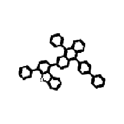 c1ccc(-c2ccc(-c3c4ccccc4c(-c4ccccc4)c4cc(-c5ccc(-c6ccccc6)c6oc7ccccc7c56)ccc34)cc2)cc1